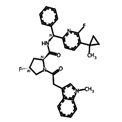 Cn1cc(CC(=O)N2C[C@H](F)C[C@H]2C(=O)N[C@@H](c2ccccc2)c2ccc(C3(C)CC3)c(F)n2)c2ccccc21